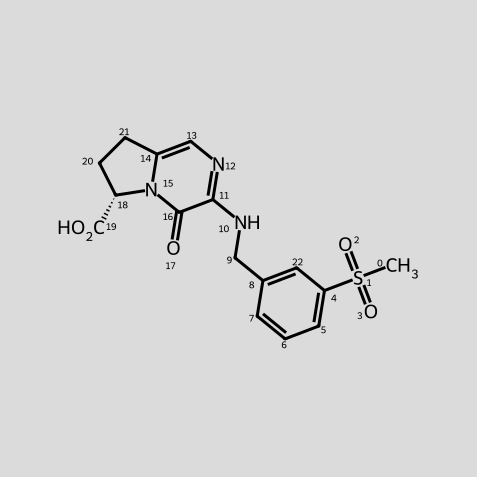 CS(=O)(=O)c1cccc(CNc2ncc3n(c2=O)[C@H](C(=O)O)CC3)c1